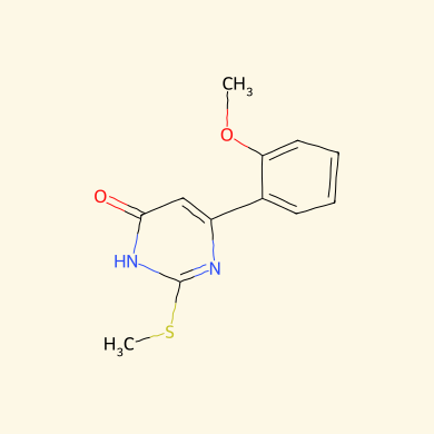 COc1ccccc1-c1cc(=O)[nH]c(SC)n1